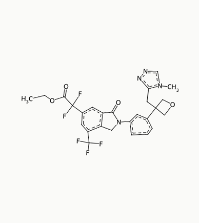 CCOC(=O)C(F)(F)c1cc2c(c(C(F)(F)F)c1)CN(c1cccc(C3(Cc4nncn4C)COC3)c1)C2=O